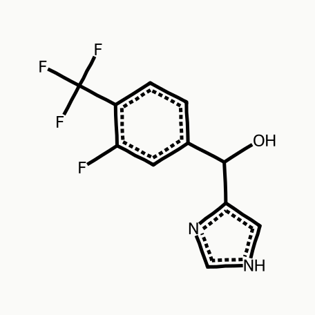 OC(c1ccc(C(F)(F)F)c(F)c1)c1c[nH]cn1